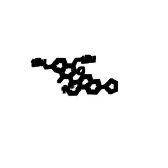 Cc1c2c(c(CC(C)(C)C)c3ccc(CC(C)(C)C)cc13)Oc1cc3cc(C4CCCC4)ccc3c3cc[n+](C)c-2c13